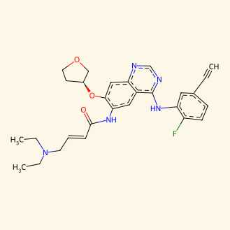 C#Cc1ccc(F)c(Nc2ncnc3cc(O[C@H]4CCOC4)c(NC(=O)C=CCN(CC)CC)cc23)c1